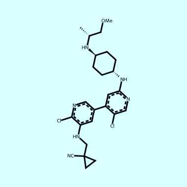 COC[C@@H](C)N[C@H]1CC[C@H](Nc2cc(-c3cnc(Cl)c(NCC4(C#N)CC4)c3)c(Cl)cn2)CC1